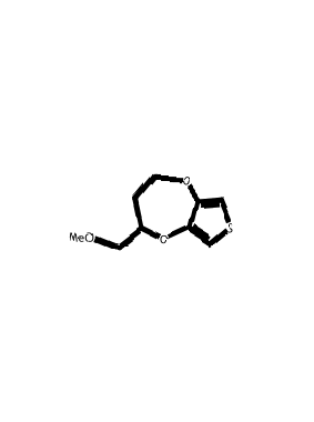 COCC1CCOc2cscc2O1